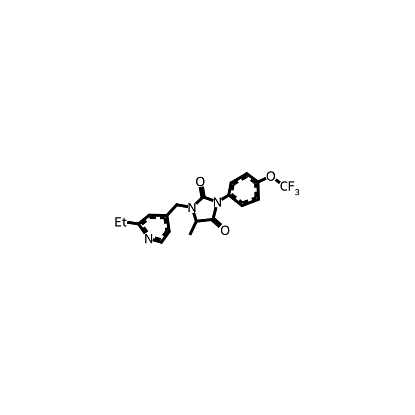 CCc1cc(CN2C(=O)N(c3ccc(OC(F)(F)F)cc3)C(=O)C2C)ccn1